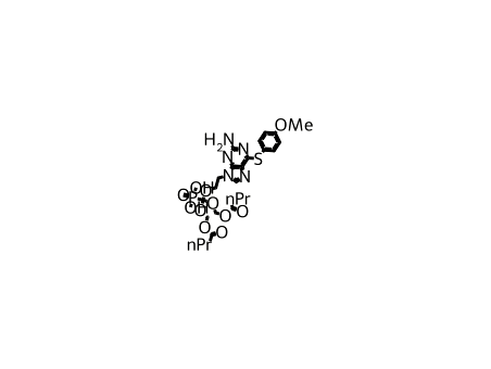 CCCC(=O)OCOC(OCCn1cnc2c(Sc3ccc(OC)cc3)nc(N)nc21)(OCOC(=O)CCC)P(=O)(O)O